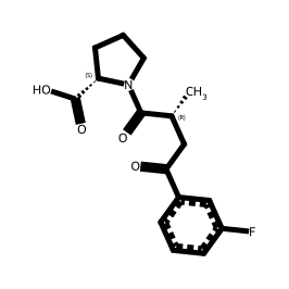 C[C@H](CC(=O)c1cccc(F)c1)C(=O)N1CCC[C@H]1C(=O)O